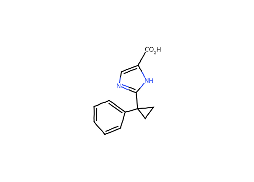 O=C(O)c1cnc(C2(c3ccccc3)CC2)[nH]1